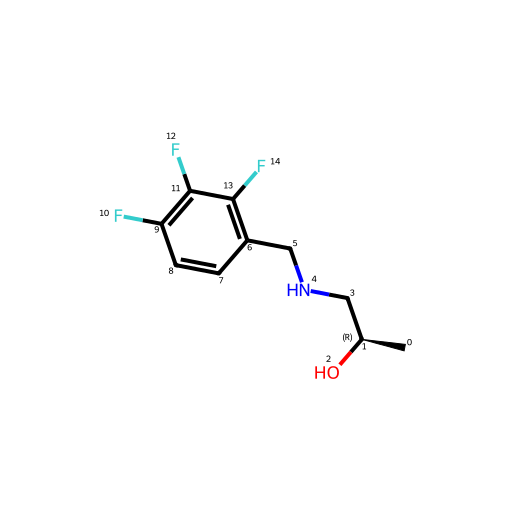 C[C@@H](O)CNCc1ccc(F)c(F)c1F